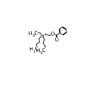 CCCC[N+](CC)(CCCC)CCOC(=O)c1ccccc1